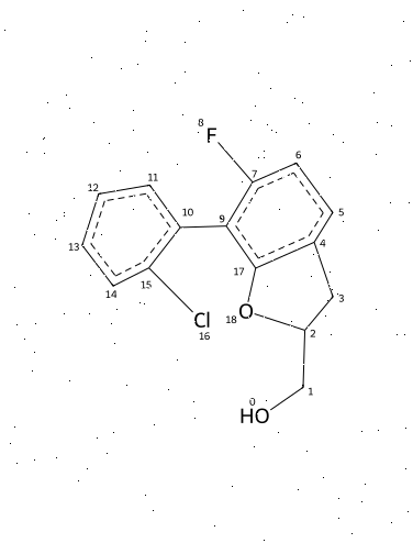 OCC1Cc2ccc(F)c(-c3ccccc3Cl)c2O1